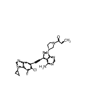 C=CC(=O)N1CCC(n2nc(C#Cc3cc4ncn(C5CC5)c4c(F)c3Cl)c3c(N)ncnc32)C1